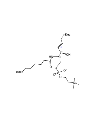 CCCCCCCCCCC/C=C/[C@@H](O)[C@H](COP(=O)([O-])OCC[N+](C)(C)C)NC(=O)CCCCCCCCCCCCCCC